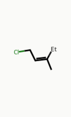 CC/C(C)=C\CCl